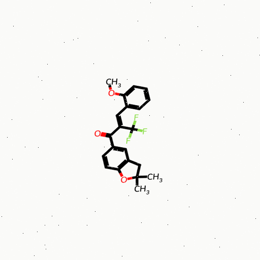 COc1ccccc1C=C(C(=O)c1ccc2c(c1)CC(C)(C)O2)C(F)(F)F